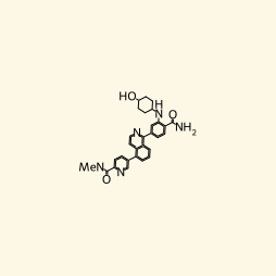 CNC(=O)c1ccc(-c2cccc3c(-c4ccc(C(N)=O)c(NC5CCC(O)CC5)c4)nccc23)cn1